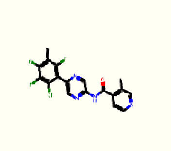 Cc1cnccc1C(=O)Nc1cnc(-c2c(F)c(C)c(F)c(F)c2Cl)cn1